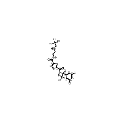 O=C(NCCNCC(F)(F)F)c1csc(C2=NOC(c3cc(Cl)cc(Cl)c3)(C(F)(F)F)C2)n1